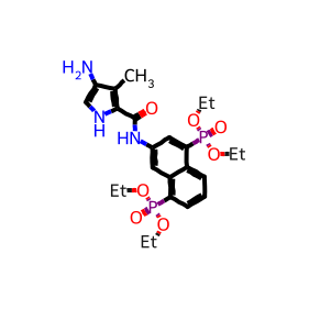 CCOP(=O)(OCC)c1cc(NC(=O)c2[nH]cc(N)c2C)cc2c(P(=O)(OCC)OCC)cccc12